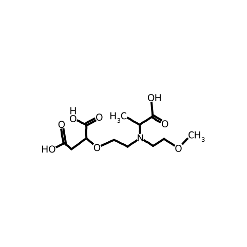 COCCN(CCOC(CC(=O)O)C(=O)O)C(C)C(=O)O